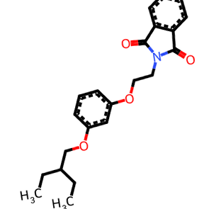 CCC(CC)COc1cccc(OCCN2C(=O)c3ccccc3C2=O)c1